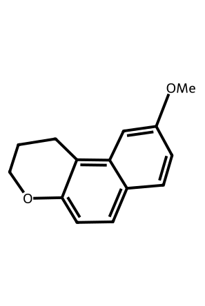 COc1ccc2ccc3c(c2c1)CCCO3